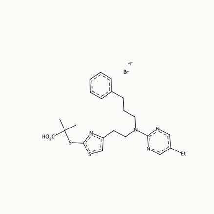 CCc1cnc(N(CCCc2ccccc2)CCc2csc(SC(C)(C)C(=O)O)n2)nc1.[Br-].[H+]